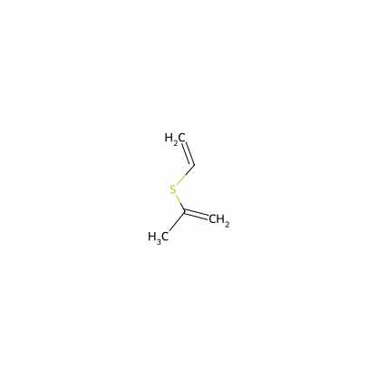 C=CSC(=C)C